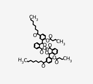 CCCCCCCC(=O)c1ccc(OC(=O)CCC)c(C(=O)c2ccccc2C(=O)OOC(=O)c2ccccc2C(=O)c2cc(C(=O)CCCCCCC)ccc2OC(=O)CCC)c1